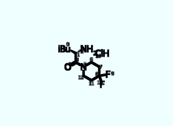 CC[C@H](C)[C@H](N)C(=O)N1CCC(F)(F)CC1.Cl